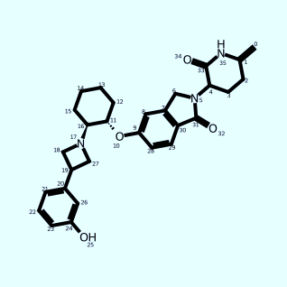 C=C1CCC(N2Cc3cc(O[C@H]4CCCC[C@@H]4N4CC(c5cccc(O)c5)C4)ccc3C2=O)C(=O)N1